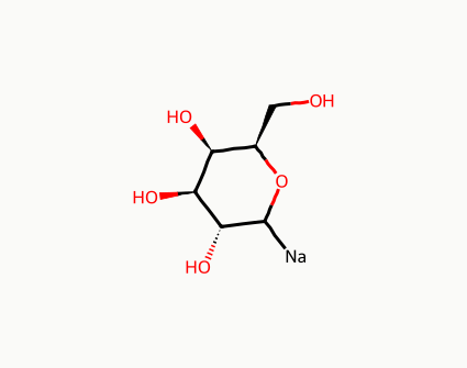 OC[C@H]1O[CH]([Na])[C@H](O)[C@@H](O)[C@H]1O